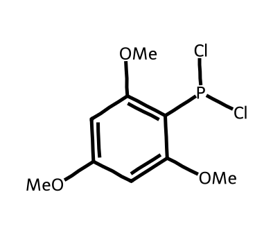 COc1cc(OC)c(P(Cl)Cl)c(OC)c1